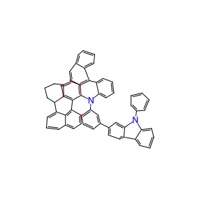 c1ccc(-n2c3ccccc3c3ccc(-c4cccc(N(c5ccccc5-c5cccc6ccccc56)c5ccccc5-c5cccc6cccc(C7CCCCC7)c56)c4)cc32)cc1